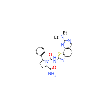 CCN(CC)c1ncc2c(n1)-c1sc(NC(=O)N3C(C(N)=O)CCC3c3ccccc3)nc1CC2